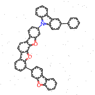 c1ccc(-c2ccc3c(c2)c2ccccc2n3-c2ccc3c(c2)oc2c3ccc3c4cccc(-c5ccc6c(c5)oc5ccccc56)c4oc32)cc1